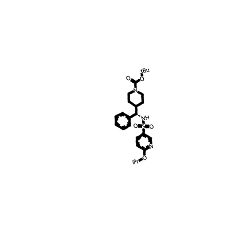 CC(C)Oc1ccc(S(=O)(=O)N[C@H](c2ccccc2)C2CCN(C(=O)OC(C)(C)C)CC2)cn1